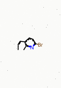 C/C=C\c1ccc(Br)nc1C